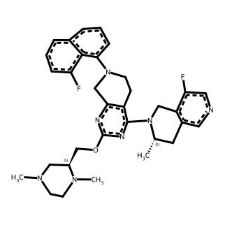 C[C@H]1Cc2cncc(F)c2CN1c1nc(OC[C@@H]2CN(C)CCN2C)nc2c1CCN(c1cccc3cccc(F)c13)C2